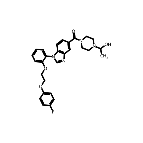 CC(O)N1CCN(C(=O)c2ccc3c(c2)ncn3-c2ccccc2OCCOc2ccc(F)cc2)CC1